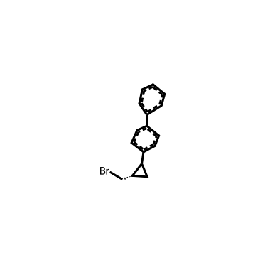 BrC[C@H]1CC1c1ccc(-c2ccccc2)cc1